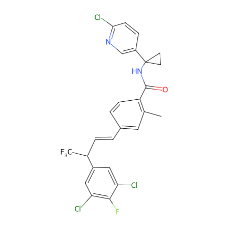 Cc1cc(/C=C/C(c2cc(Cl)c(F)c(Cl)c2)C(F)(F)F)ccc1C(=O)NC1(c2ccc(Cl)nc2)CC1